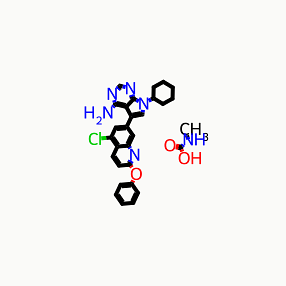 CNC(=O)O.Nc1ncnc2c1c(-c1cc(Cl)c3ccc(Oc4ccccc4)nc3c1)cn2C1CCCCC1